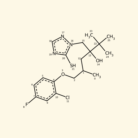 CC(COc1ccc(F)cc1Cl)CC(O)(Cn1ncnc1S)C(C)(C)C